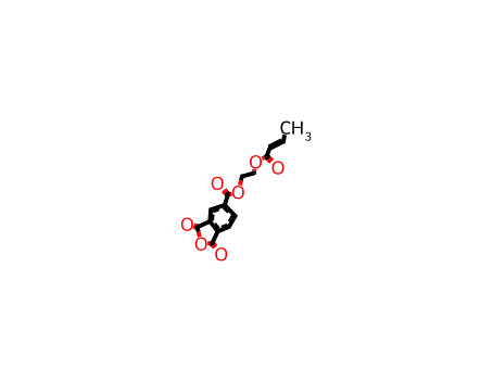 CC=CC(=O)OCCOC(=O)c1ccc2c(c1)C(=O)OC2=O